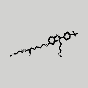 COCCCNC(=O)CCCCCOc1ccc2nc(-c3ccc(C(C)(C)C)cc3)n(CCCOC)c2c1